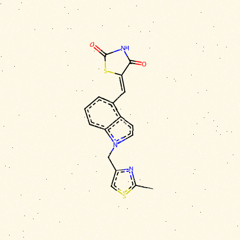 Cc1nc(Cn2ccc3c(C=C4SC(=O)NC4=O)cccc32)cs1